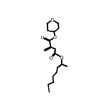 C=C(CC(=O)OC(C)CCCCCC)C(=O)OC1CCOCC1